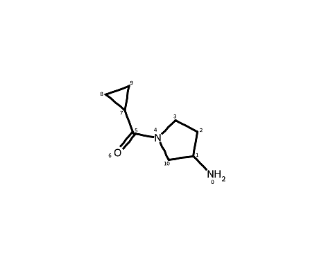 NC1CCN(C(=O)C2CC2)C1